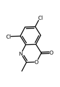 Cc1nc2c(Cl)cc(Cl)cc2c(=O)o1